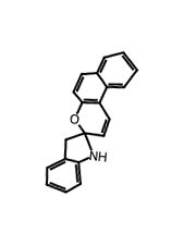 C1=CC2(Cc3ccccc3N2)Oc2ccc3ccccc3c21